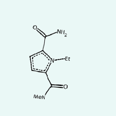 CCn1c(C(N)=O)ccc1C(=O)NC